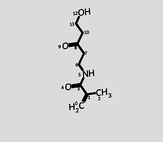 C=C(C)C(=O)NCCC(=O)CCO